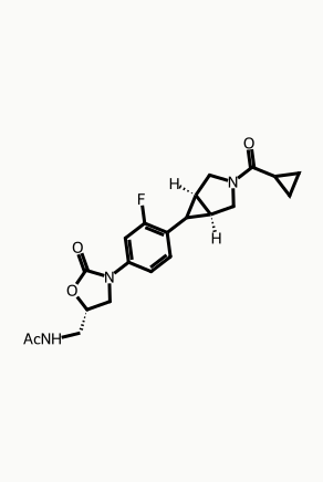 CC(=O)NC[C@H]1CN(c2ccc(C3[C@H]4CN(C(=O)C5CC5)C[C@@H]34)c(F)c2)C(=O)O1